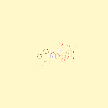 C=CCOC1(C)CCN(c2c(C(OC(C)(C)C)C(=O)OC)c(C)cn3nc(-c4cccc(-c5ccc(F)cc5O[C@@H](C)CC=C)c4)cc23)CC1